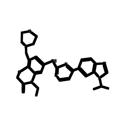 CCN1C(=O)COc2c(CN3CCOCC3)cc(Nc3nccc(-c4ccc5ncn(C(C)C)c5c4)n3)cc21